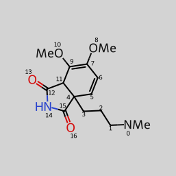 CNCCCC12C=CC(OC)=C(OC)C1C(=O)NC2=O